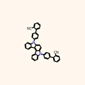 N#Cc1ccccc1-c1ccc(-n2c3ccccc3c3c4c5ccccc5n(-c5ccc(-c6ccccc6C#N)cc5)c4ccc32)cc1